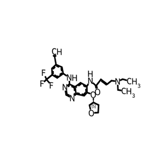 C#Cc1cc(Nc2ncnc3cc(O[C@H]4CCOC4)c(NC(=O)C=CCN(CC)CC)cc23)cc(C(F)(F)F)c1